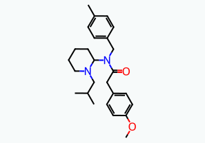 COc1ccc(CC(=O)N(Cc2ccc(C)cc2)C2CCCCN2CC(C)C)cc1